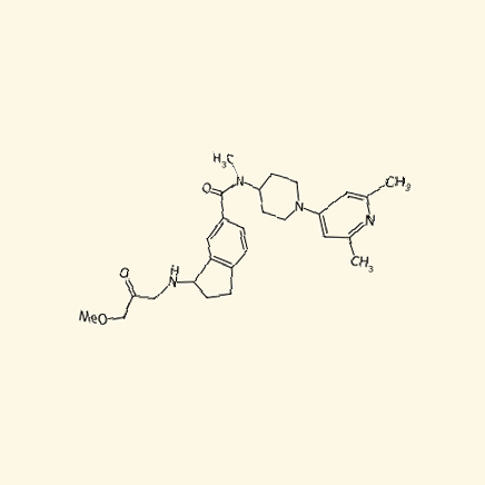 COCC(=O)CNC1CCc2ccc(C(=O)N(C)C3CCN(c4cc(C)nc(C)c4)CC3)cc21